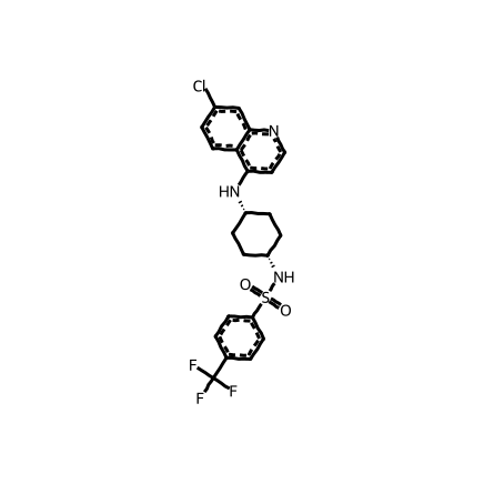 O=S(=O)(N[C@H]1CC[C@@H](Nc2ccnc3cc(Cl)ccc23)CC1)c1ccc(C(F)(F)F)cc1